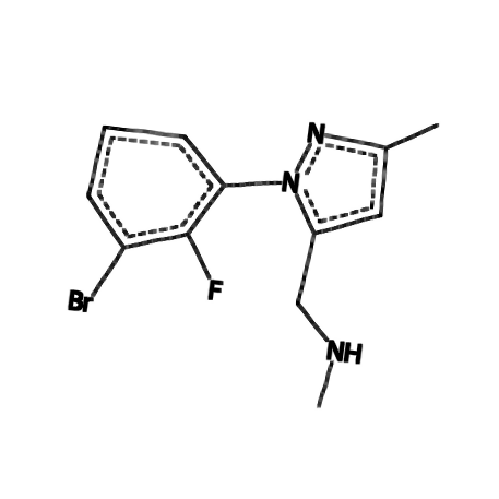 CNCc1cc(C)nn1-c1cccc(Br)c1F